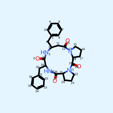 O=C1NC(Cc2ccccc2)CC(=O)N2CCCC2C(=O)N2CCCC2C(=O)NC1Cc1ccccc1